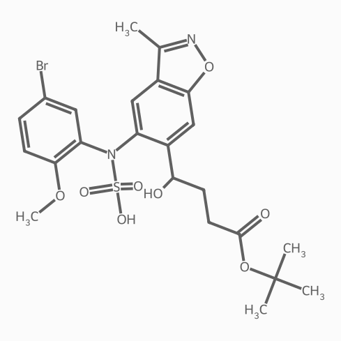 COc1ccc(Br)cc1N(c1cc2c(C)noc2cc1C(O)CCC(=O)OC(C)(C)C)S(=O)(=O)O